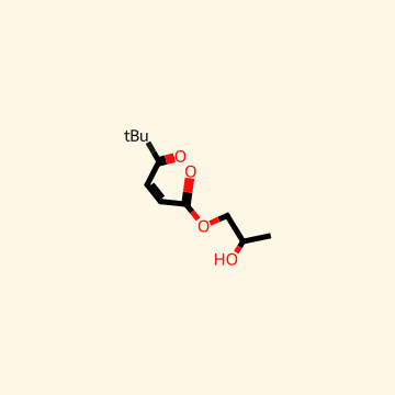 CC(O)COC(=O)/C=C\C(=O)C(C)(C)C